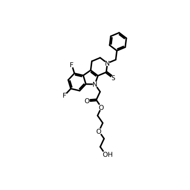 O=C(Cn1c2c(c3c(F)cc(F)cc31)CCN(Cc1ccccc1)C2=S)OCCOCCO